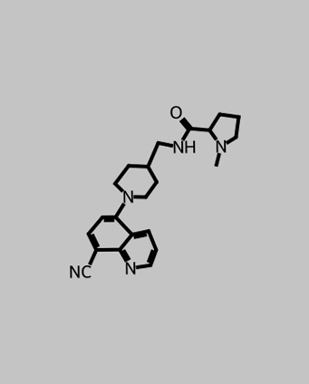 CN1CCCC1C(=O)NCC1CCN(c2ccc(C#N)c3ncccc23)CC1